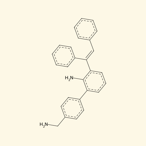 NCc1ccc(-c2cccc(C(=Cc3ccccc3)c3ccccc3)c2N)cc1